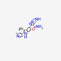 Cc1cc(-c2[nH]c3ccc(-c4nn5c(c4C(N)=O)CNCC5)cc3c2C(C)C)ccn1